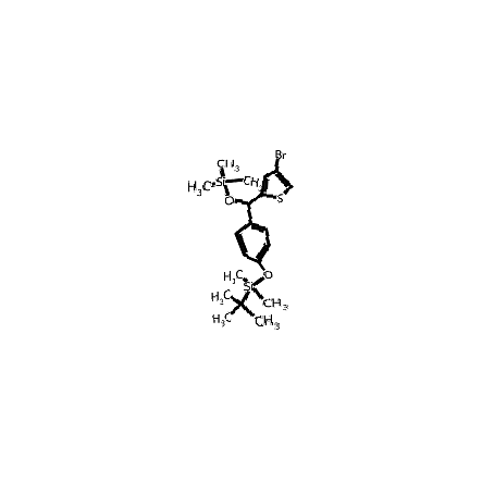 CC(C)(C)[Si](C)(C)Oc1ccc(C(O[Si](C)(C)C)c2cc(Br)cs2)cc1